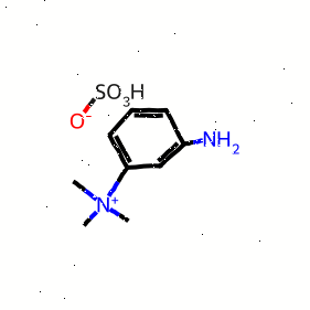 C[N+](C)(C)c1cccc(N)c1.O=S(=O)([O-])O